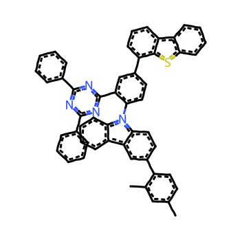 Cc1ccc(-c2ccc3c(c2)c2ccccc2n3-c2ccc(-c3cccc4c3sc3ccccc34)cc2-c2nc(-c3ccccc3)nc(-c3ccccc3)n2)c(C)c1